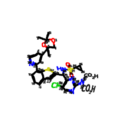 CC1(C)OCC(C)(c2ccnc(-c3cccc4cc(C(NS(=O)(=O)C5CC5)c5nc(N(C(=O)O)C(=O)O)ncc5Cl)sc34)c2)O1